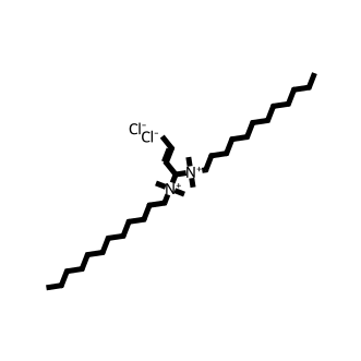 CC=CC([N+](C)(C)CCCCCCCCCCCC)[N+](C)(C)CCCCCCCCCCCC.[Cl-].[Cl-]